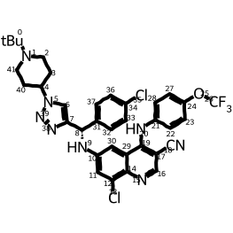 CC(C)(C)N1CCC(n2cc([C@@H](Nc3cc(Cl)c4ncc(C#N)c(Nc5ccc(OC(F)(F)F)cc5)c4c3)c3ccc(Cl)cc3)nn2)CC1